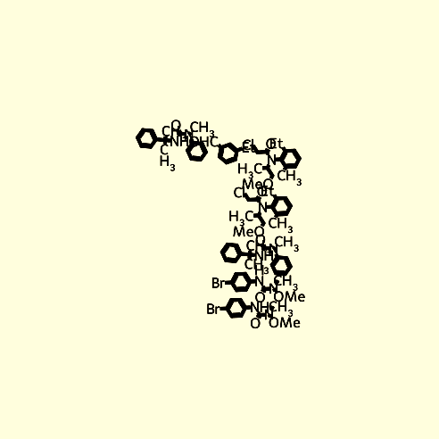 CCc1cccc(C)c1N(C(=O)CCl)C(C)COC.CCc1cccc(C)c1N(C(=O)CCl)C(C)COC.CCc1cccc(C=O)c1.CN(C(=O)NC(C)(C)c1ccccc1)c1ccccc1.CN(C(=O)NC(C)(C)c1ccccc1)c1ccccc1.CON(C)C(=O)Nc1ccc(Br)cc1.CON(C)C(=O)Nc1ccc(Br)cc1